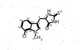 Cn1cc(CC2NC(=S)NC2=O)c2cccc(Cl)c21